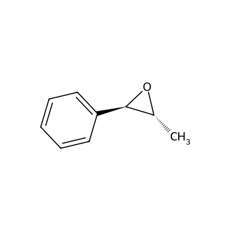 C[C@H]1O[C@@H]1c1ccccc1